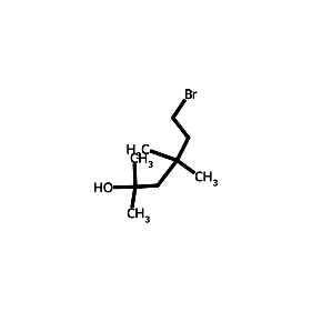 CC(C)(O)CC(C)(C)CCBr